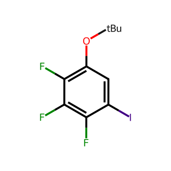 CC(C)(C)Oc1cc(I)c(F)c(F)c1F